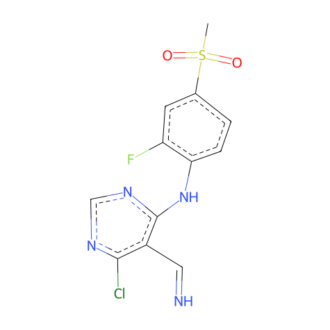 CS(=O)(=O)c1ccc(Nc2ncnc(Cl)c2C=N)c(F)c1